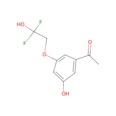 CC(=O)c1cc(O)cc(OCC(O)(F)F)c1